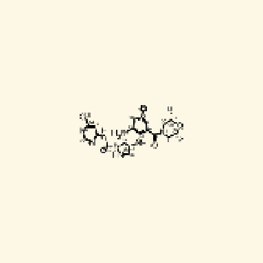 C[C@@H]1CN(C(=O)c2cc(Br)cc(N)c2N[C@H]2CN[C@H](C(=O)Nc3cc(Cl)ncn3)C2)C[C@H](C)O1